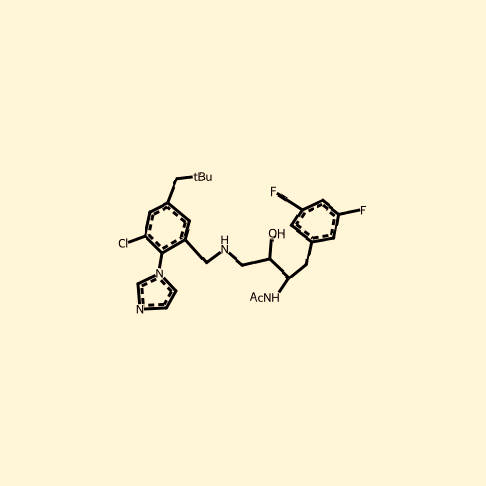 CC(=O)NC(Cc1cc(F)cc(F)c1)C(O)CNCc1cc(CC(C)(C)C)cc(Cl)c1-n1ccnc1